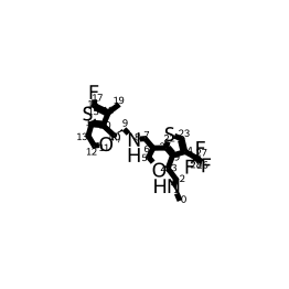 CNCC1OCC(CNC[C@@H]2OCCc3sc(F)c(C)c32)c2scc(C(F)(F)F)c21